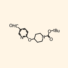 CC(C)(C)OC(=O)N1CCC(Oc2ccc(C=O)cn2)CC1